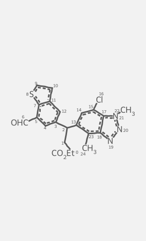 CCOC(=O)CC(c1cc(C=O)c2sccc2c1)c1cc(Cl)c2c(nnn2C)c1C